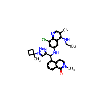 Cn1ccc2c(C(Nc3cc(Cl)c4ncc(C#N)c(NCC(C)(C)C)c4c3)c3cn(C4(C)CCC4)nn3)cccc2c1=O